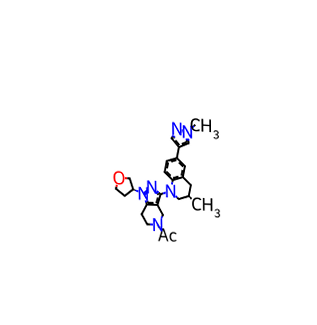 CC(=O)N1CCc2c(c(N3C[C@H](C)Cc4cc(-c5cnn(C)c5)ccc43)nn2[C@H]2CCOC2)C1